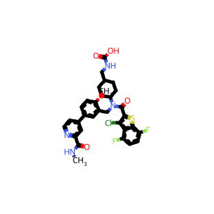 CNC(=O)c1cc(-c2ccc(OC)c(CN(C(=O)c3sc4c(F)ccc(F)c4c3Cl)C3CCC(CNC(=O)O)CC3)c2)ccn1